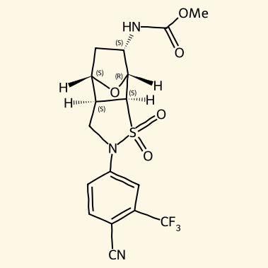 COC(=O)N[C@H]1C[C@@H]2O[C@H]1[C@@H]1[C@H]2CN(c2ccc(C#N)c(C(F)(F)F)c2)S1(=O)=O